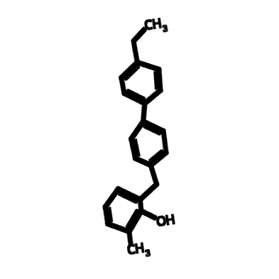 CCc1ccc(-c2ccc(Cc3cccc(C)c3O)cc2)cc1